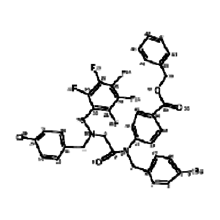 CC(C)(C)c1ccc(CN(C(=O)CN(Cc2ccc(Cl)cc2)Sc2c(F)c(F)c(F)c(F)c2F)c2ccc(C(=O)OCc3ccccc3)cc2)cc1